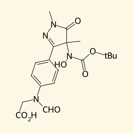 CN1N=C(c2ccc(N(C=O)CC(=O)O)cc2)C(C)(N(O)C(=O)OC(C)(C)C)C1=O